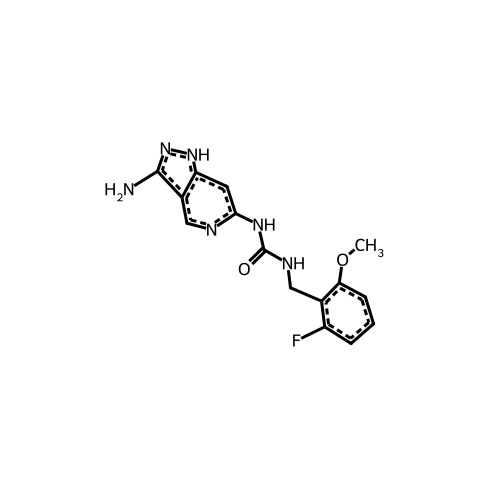 COc1cccc(F)c1CNC(=O)Nc1cc2[nH]nc(N)c2cn1